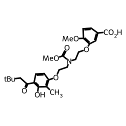 COC(=O)N(CCOc1cc(C(=O)O)ccc1OC)CCOc1ccc(C(=O)CC(C)(C)C)c(O)c1C